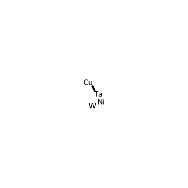 [Cu][Ta].[Ni].[W]